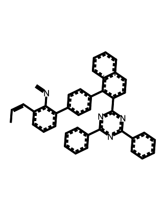 C=Nc1c(/C=C\C)cccc1-c1ccc(-c2c(-c3nc(-c4ccccc4)nc(-c4ccccc4)n3)ccc3ccccc23)cc1